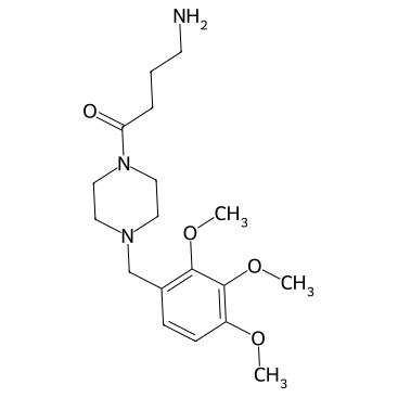 COc1ccc(CN2CCN(C(=O)CCCN)CC2)c(OC)c1OC